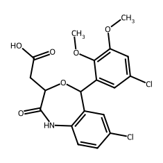 COc1cc(Cl)cc(C2OC(CC(=O)O)C(=O)Nc3ccc(Cl)cc32)c1OC